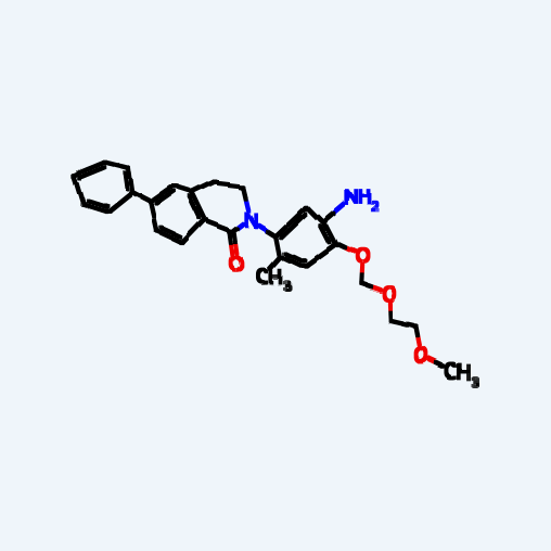 COCCOCOc1cc(C)c(N2CCc3cc(-c4ccccc4)ccc3C2=O)cc1N